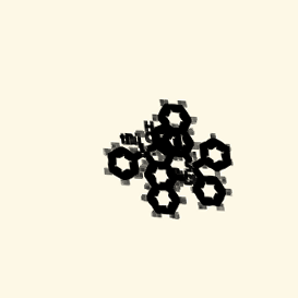 CC(C)(C)[Si](c1ccccc1)(c1ccccc1)c1cc2ccccc2c(O)c1-c1c([Si](c2ccccc2)(c2ccccc2)C(C)(C)C)cc2ccccc2c1O